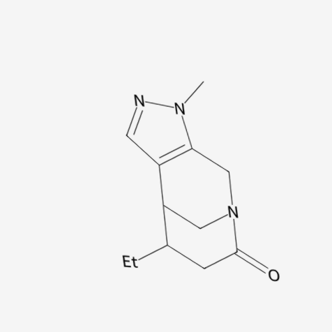 CCC1CC(=O)N2Cc3c(cnn3C)C1C2